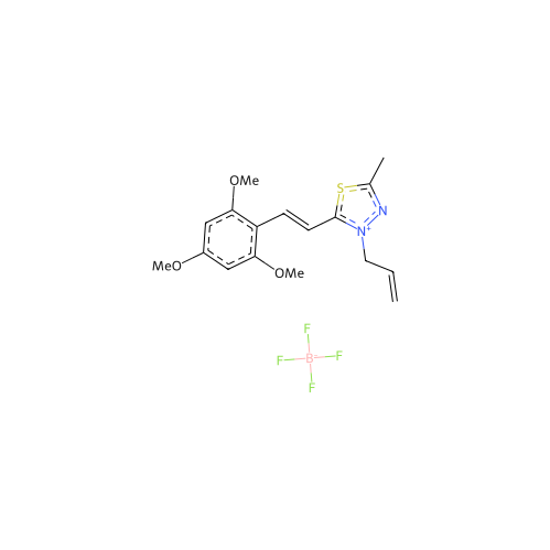 C=CC[n+]1nc(C)sc1C=Cc1c(OC)cc(OC)cc1OC.F[B-](F)(F)F